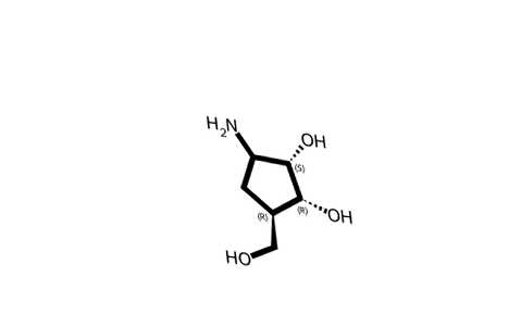 NC1C[C@H](CO)[C@@H](O)[C@H]1O